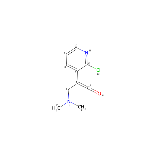 CN(C)CC(=C=O)c1cccnc1Cl